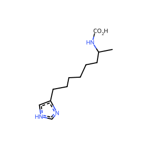 CC(CCCCCCc1c[nH]cn1)NC(=O)O